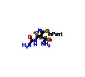 CCCCCSc1nsc(NC(N)=O)c1C(N)=O